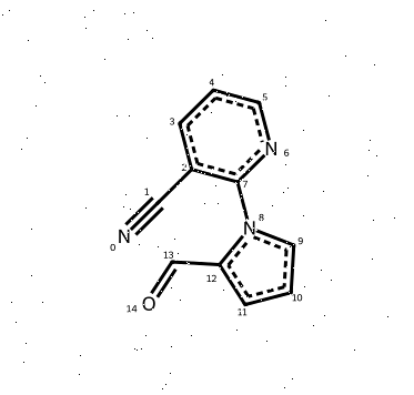 N#Cc1cccnc1-n1cccc1C=O